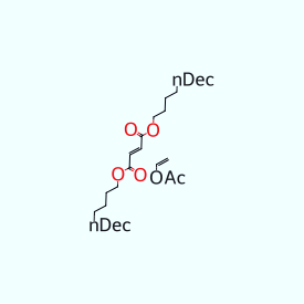 C=COC(C)=O.CCCCCCCCCCCCCCOC(=O)/C=C/C(=O)OCCCCCCCCCCCCCC